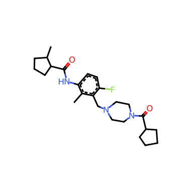 Cc1c(NC(=O)C2CCCC2C)ccc(F)c1CN1CCN(C(=O)C2CCCC2)CC1